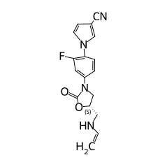 C=CNC[C@H]1CN(c2ccc(-n3ccc(C#N)c3)c(F)c2)C(=O)O1